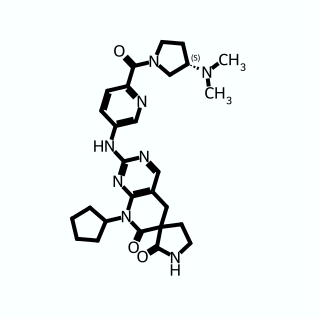 CN(C)[C@H]1CCN(C(=O)c2ccc(Nc3ncc4c(n3)N(C3CCCC3)C(=O)C3(CCNC3=O)C4)cn2)C1